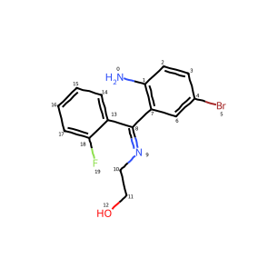 Nc1ccc(Br)cc1C(=NCCO)c1ccccc1F